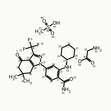 CC1(C)CC(=O)c2c(C(F)(F)F)nn(-c3ccc(C(N)=O)c(N[C@H]4CCCC[C@@H]4OC(=O)CN)c3)c2C1.CS(=O)(=O)O